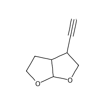 [C]#CC1COC2OCCC12